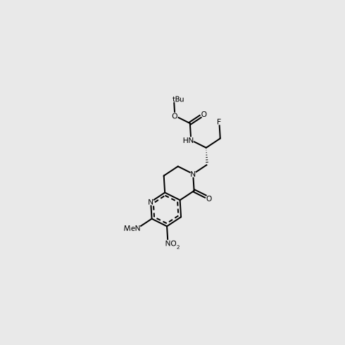 CNc1nc2c(cc1[N+](=O)[O-])C(=O)N(C[C@@H](CF)NC(=O)OC(C)(C)C)CC2